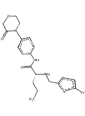 CCC[C@@H](NCc1ccc(Cl)s1)C(=O)Nc1ccc(N2CCOCC2=O)cc1